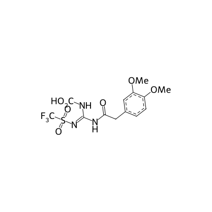 COc1ccc(CC(=O)N/C(=N/S(=O)(=O)C(F)(F)F)NC(=O)O)cc1OC